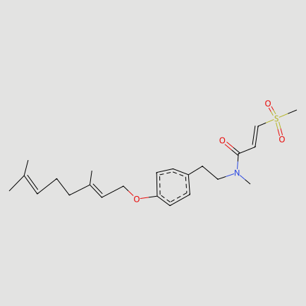 CC(C)=CCC/C(C)=C/COc1ccc(CCN(C)C(=O)/C=C/S(C)(=O)=O)cc1